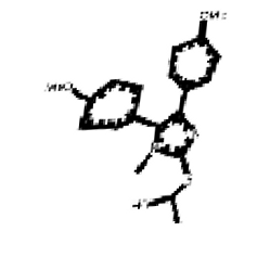 COc1ccc(-c2nc(SC(C)O)n(C)c2-c2ccc(OC)cc2)cc1